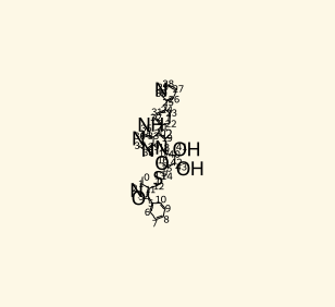 Cc1noc(-c2ccccc2)c1CSC[C@H]1O[C@@H](n2cc(-c3ccc(-c4cccnc4)cc3)c3c(N)ncnc32)[C@H](O)[C@@H]1O